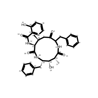 C[C@H]1CC(=O)C(Cc2ccccc2)NC(=O)[C@H](C)[C@H](O)[C@H](Cc2ccccc2)NC(=O)[C@H]1NC(=O)c1ncccc1O